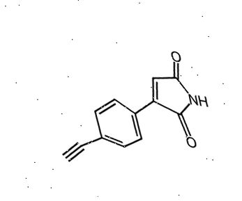 C#Cc1ccc(C2=CC(=O)NC2=O)cc1